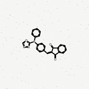 O=C1C(=Cc2ccc(N(c3ccccc3)c3nnco3)cc2)C(=O)c2ccccc21